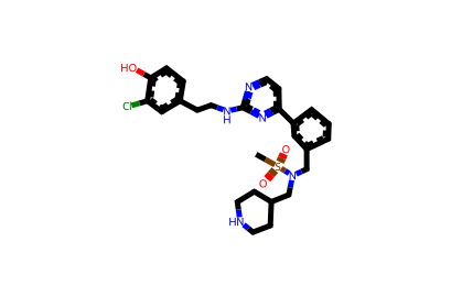 CS(=O)(=O)N(Cc1cccc(-c2ccnc(NCCc3ccc(O)c(Cl)c3)n2)c1)CC1CCNCC1